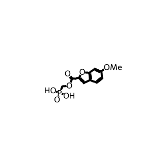 COc1ccc2cc(C(=O)OCP(=O)(O)O)oc2c1